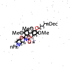 CCCCCCCCCCCCCCOc1c(OC)cc(COC(=O)N(Cc2ccc[n+](CCC)c2)C(=O)c2ccccc2OC)cc1OC.[I-]